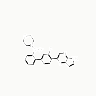 [O-][S+](c1ccccc1-c1ccc(-c2cnc3[nH]ccc3n2)c(F)c1)N1CCOCC1